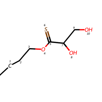 CCCCOC(=S)C(O)CO